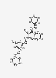 Cc1cc(OCc2nc3ccccc3c(OCc3ccccc3)c2C)cc(OCC2CCOCC2)c1